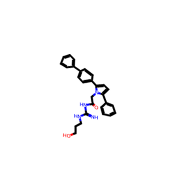 N=C(NCCCO)NC(=O)Cn1c(-c2ccccc2)ccc1-c1ccc(-c2ccccc2)cc1